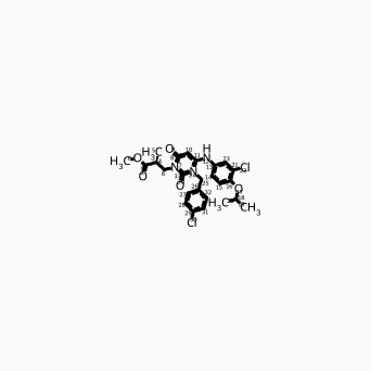 COC(=O)[C@@H](C)Cn1c(=O)cc(Nc2ccc(OC(C)C)c(Cl)c2)n(Cc2ccc(Cl)cc2)c1=O